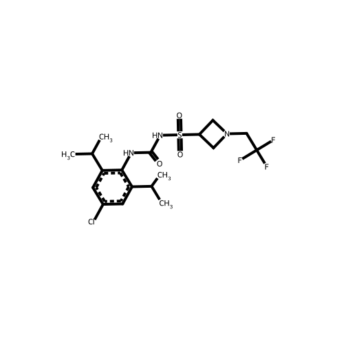 CC(C)c1cc(Cl)cc(C(C)C)c1NC(=O)NS(=O)(=O)C1CN(CC(F)(F)F)C1